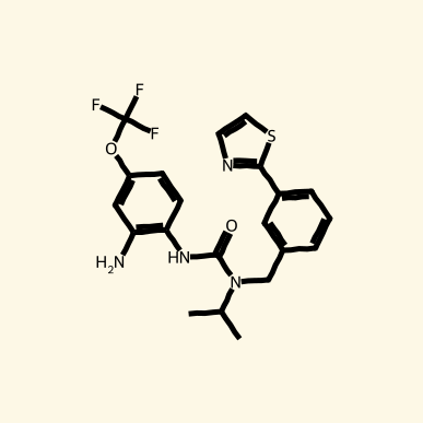 CC(C)N(Cc1cccc(-c2nccs2)c1)C(=O)Nc1ccc(OC(F)(F)F)cc1N